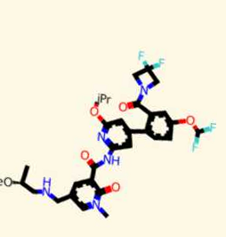 CO[C@@H](C)CNCc1cc(C(=O)Nc2cc(-c3ccc(OC(F)F)cc3C(=O)N3CC(F)(F)C3)cc(OC(C)C)n2)c(=O)n(C)c1